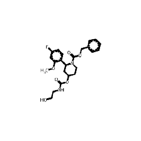 COc1cc(F)ccc1C1CC(OC(=O)NCCO)CCN1C(=O)OCc1ccccc1